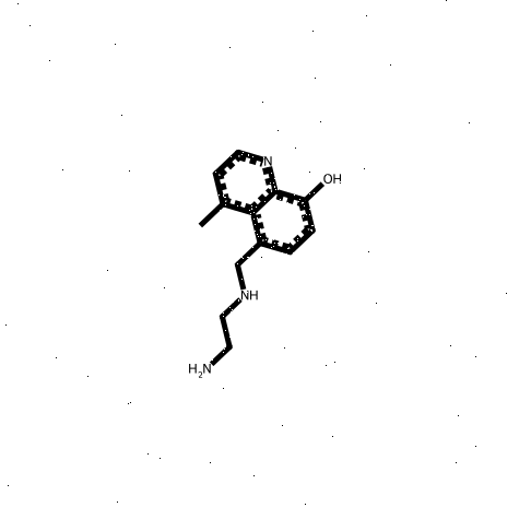 Cc1ccnc2c(O)ccc(CNCCN)c12